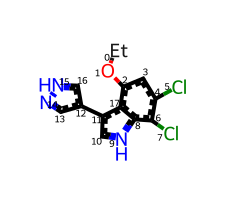 CCOc1cc(Cl)c(Cl)c2[nH]cc(-c3cn[nH]c3)c12